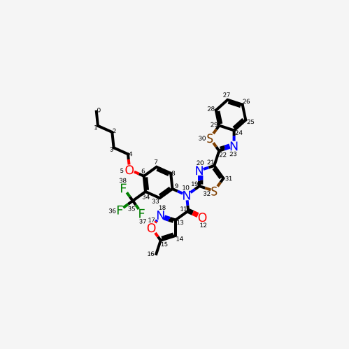 CCCCCOc1ccc(N(C(=O)c2cc(C)on2)c2nc(-c3nc4ccccc4s3)cs2)cc1C(F)(F)F